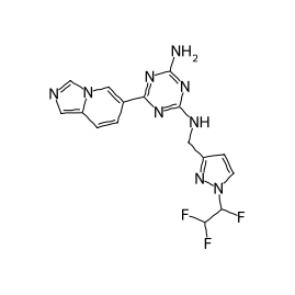 Nc1nc(NCc2ccn(C(F)C(F)F)n2)nc(-c2ccc3cncn3c2)n1